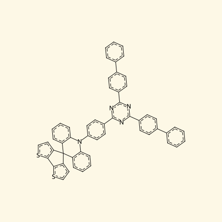 c1ccc(-c2ccc(-c3nc(-c4ccc(-c5ccccc5)cc4)nc(-c4ccc(N5c6ccccc6C6(c7ccccc75)c5ccsc5-c5sccc56)cc4)n3)cc2)cc1